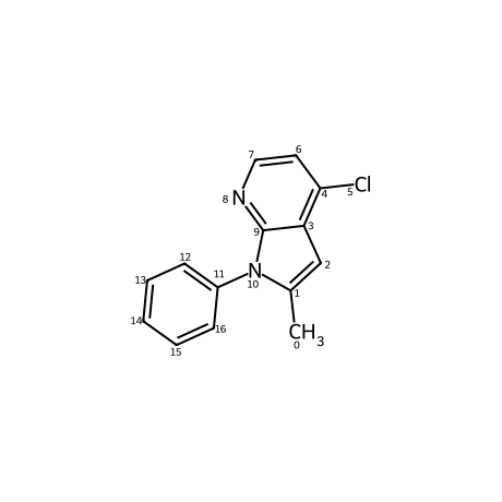 Cc1cc2c(Cl)ccnc2n1-c1ccccc1